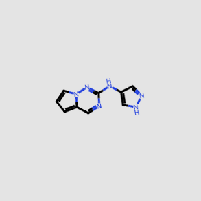 c1cc2cnc(Nc3cn[nH]c3)nn2c1